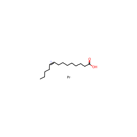 CCCC/C=C\CCCCCCCC(=O)O.[Pr]